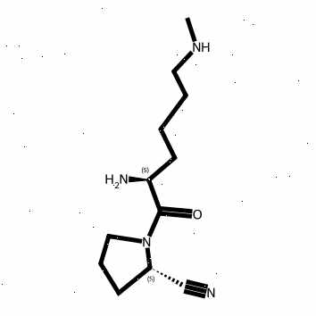 CNCCCC[C@H](N)C(=O)N1CCC[C@H]1C#N